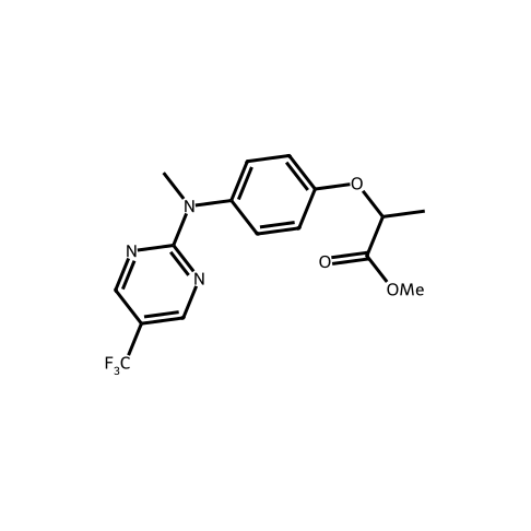 COC(=O)C(C)Oc1ccc(N(C)c2ncc(C(F)(F)F)cn2)cc1